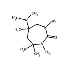 CC(C)N1CC(C)(N(C)C)CC(C)(N)N(C)C1=S